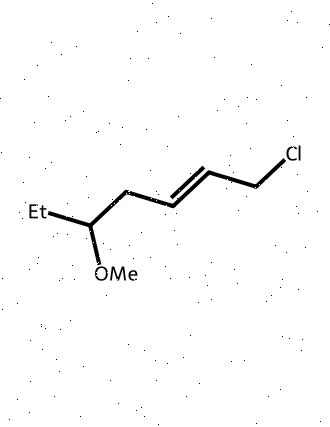 CCC(CC=CCCl)OC